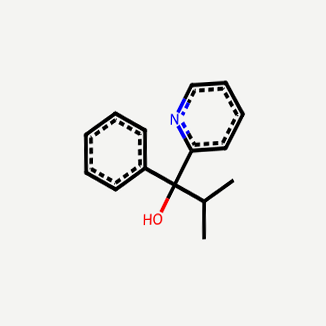 CC(C)C(O)(c1ccccc1)c1ccccn1